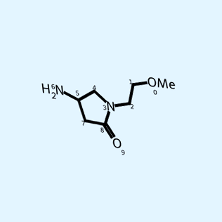 COCCN1CC(N)CC1=O